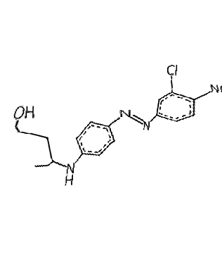 CC(CCO)Nc1ccc(/N=N/c2ccc([N+](=O)[O-])c(Cl)c2)cc1